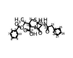 CC(OC(=O)c1ccccc1)C1=C(C(=O)O)N2C(=O)[C@@H](NC(=O)Cc3cccs3)[C@H]2SC1